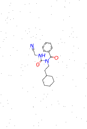 N#CCNC(=O)N(CCC1CCCCC1)C(=O)c1ccccc1